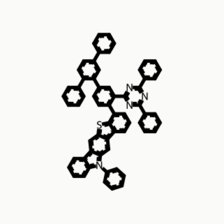 c1ccc(-c2ccc(-c3ccccc3)c(-c3ccc(-c4cccc5c4sc4cc6c7ccccc7n(-c7ccccc7)c6cc45)c(-c4nc(-c5ccccc5)nc(-c5ccccc5)n4)c3)c2)cc1